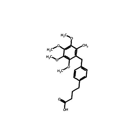 COc1c(C)c(Cc2ccc(CCCC(=O)O)cc2)c(OC)c(OC)c1OC